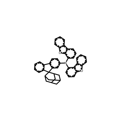 c1ccc2c(c1)-c1ccc(N(c3cccc4c3oc3ccccc34)c3cccc4oc5ccccc5c34)cc1C21C2CC3CC(C2)CC1C3